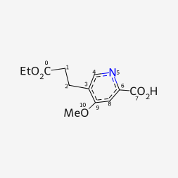 CCOC(=O)CCc1cnc(C(=O)O)cc1OC